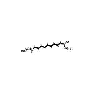 CCCCONCCCCCCCCCN(OCCCC)C(C)=O